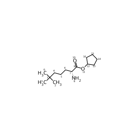 CC(C)(C)CCC[C@@H](N)C(=O)OC1CCCC1